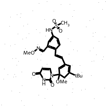 CON=Cc1cc(NS(C)(=O)=O)ccc1C=CC1=CC(OC)(n2ccc(=O)[nH]c2=O)CC(C(C)(C)C)=C1